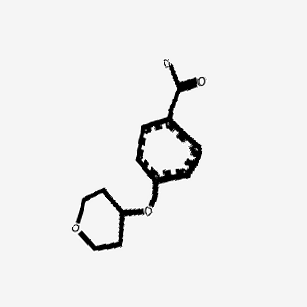 O=C(Cl)c1ccc(OC2CCOCC2)cc1